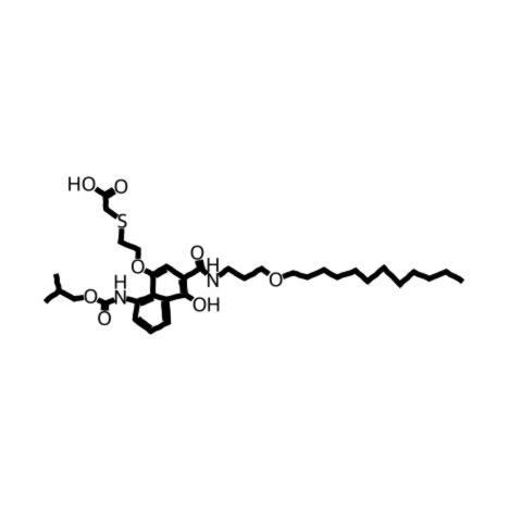 CCCCCCCCCCCCOCCCNC(=O)c1cc(OCCSCC(=O)O)c2c(NC(=O)OCC(C)C)cccc2c1O